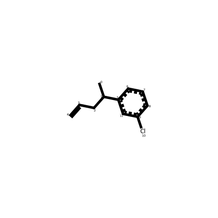 [CH2]C(CC=C)c1cccc(Cl)c1